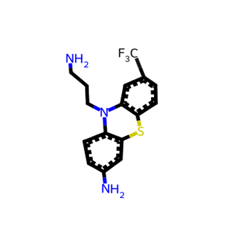 NCCCN1c2ccc(N)cc2Sc2ccc(C(F)(F)F)cc21